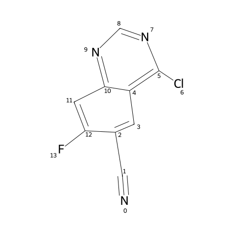 N#Cc1cc2c(Cl)ncnc2cc1F